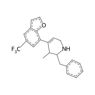 CC1C(c2cc(C(F)(F)F)cc3ccoc23)=CCNC1Cc1ccccc1